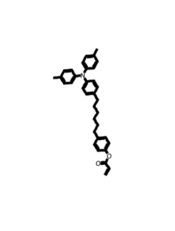 C=CC(=O)Oc1ccc(CCCCCCc2ccc(N(c3ccc(C)cc3)c3ccc(C)cc3)cc2)cc1